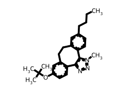 CCCCc1ccc2c(c1)CCc1cc(OC(C)(C)C)ccc1-c1nnn(C)c1-2